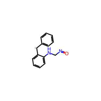 O=NCNc1ccccc1[C]c1ccccc1